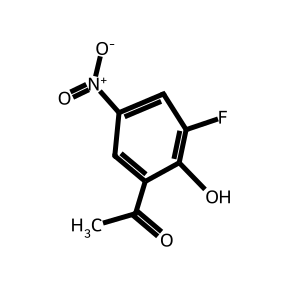 CC(=O)c1cc([N+](=O)[O-])cc(F)c1O